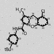 Cc1cc(C(=O)Nc2ccc(C(C)(C)C)cc2)nn1Cc1c(Cl)cccc1Cl